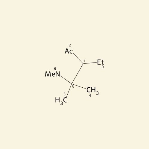 CCC(C(C)=O)C(C)(C)NC